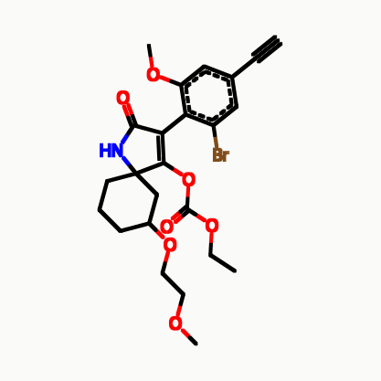 C#Cc1cc(Br)c(C2=C(OC(=O)OCC)C3(CCCC(OCCOC)C3)NC2=O)c(OC)c1